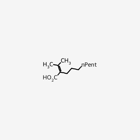 CCCCCCCCC(C(=O)O)=C(C)C